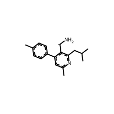 Cc1ccc(-c2cc(C)nc(CC(C)C)c2[CH]N)cc1